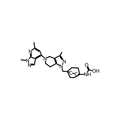 Cc1cc(N2CCc3c(c(C)nn3CC34CCC(NC(=O)O)(CC3)CC4)C2)c2cnn(C)c2n1